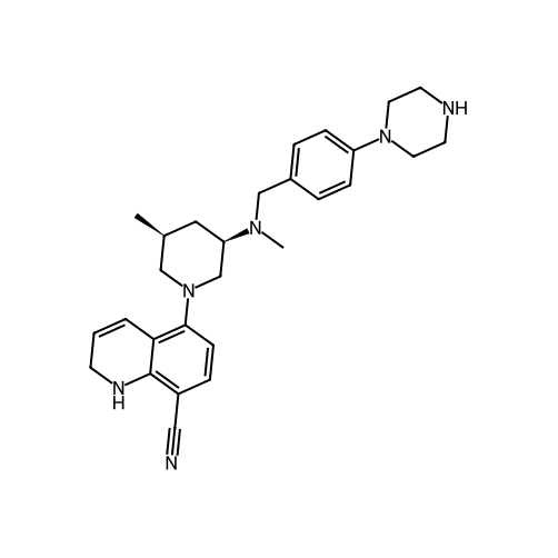 C[C@H]1C[C@@H](N(C)Cc2ccc(N3CCNCC3)cc2)CN(c2ccc(C#N)c3c2C=CCN3)C1